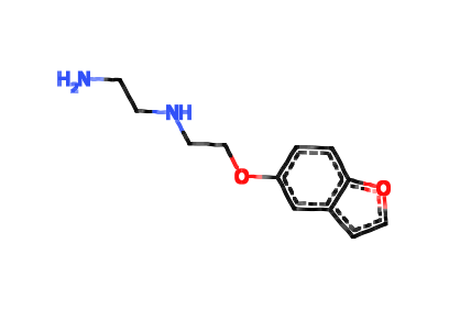 NCCNCCOc1ccc2occc2c1